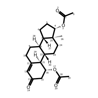 CC(=O)O[C@H]1CC[C@H]2[C@@H]3CCC4=CC(=O)C[C@@H](OC(C)=O)[C@@H]4[C@H]3CC[C@]12C